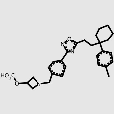 Cc1ccc(C2(CCc3nc(-c4ccc(CN5CC(OC(=O)O)C5)cc4)no3)CCCCC2)cc1